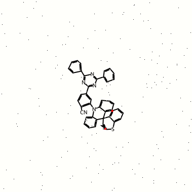 N#Cc1ccc(-c2nc(-c3ccccc3)nc(-c3ccccc3)n2)cc1N1c2ccccc2C2(c3ccccc3Sc3ccccc32)c2ccccc21